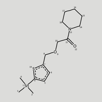 [CH3][Sn]([CH3])([CH3])[c]1ccc(COCC(=O)N2CCCCC2)s1